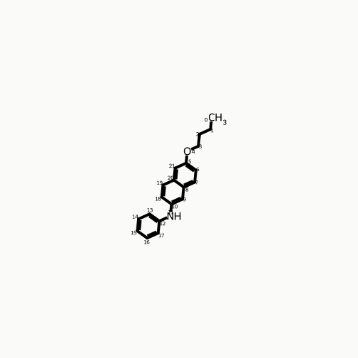 CCCCOc1ccc2cc(Nc3ccccc3)ccc2c1